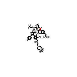 CCOC(=O)C(Cc1cc(CC(=O)O)ccc1OCc1ccnc(OCCC(F)(F)F)n1)Oc1ncnc2sc(-c3ccc(F)cc3)c(-c3ccc(CNCCN4CCN(S(C)(=O)=O)CC4)c(Cl)c3C)c12